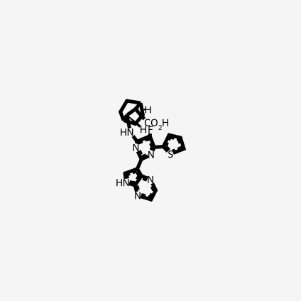 O=C(O)[C@@H]1C2CCC(CC2)[C@H]1Nc1nc(-c2c[nH]c3nccnc23)nc(-c2cccs2)c1F